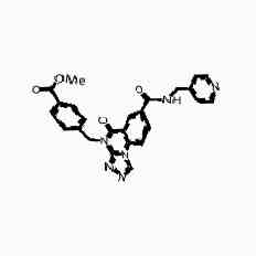 COC(=O)c1ccc(Cn2c(=O)c3cc(C(=O)NCc4ccncc4)ccc3n3cnnc23)cc1